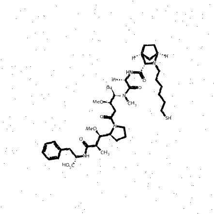 CC[C@H](C)[C@@H]([C@@H](CC(=O)N1CCC[C@H]1[C@H](OC)[C@@H](C)C(=O)N[C@@H](Cc1ccccc1)C(=O)O)OC)N(C)C(=O)[C@@H](NC(=O)[C@@H]1[C@H]2CC[C@H](C2)N1CCCCCCS)C(C)C